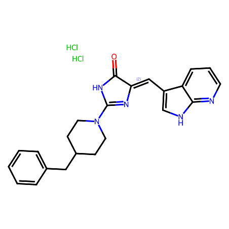 Cl.Cl.O=C1NC(N2CCC(Cc3ccccc3)CC2)=N/C1=C\c1c[nH]c2ncccc12